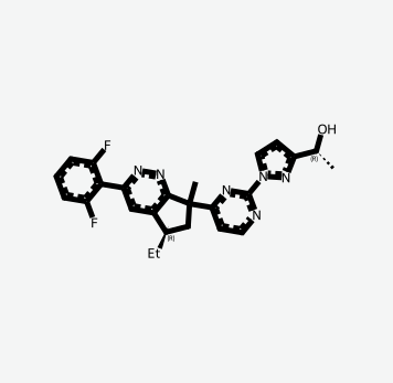 CC[C@@H]1CC(C)(c2ccnc(-n3ccc([C@@H](C)O)n3)n2)c2nnc(-c3c(F)cccc3F)cc21